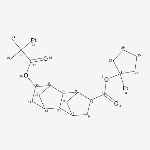 CCC1(OC(=O)C2CC3CC2C2C4CC(CC4OC(=O)C(C)(C)CC)C32)CCCC1